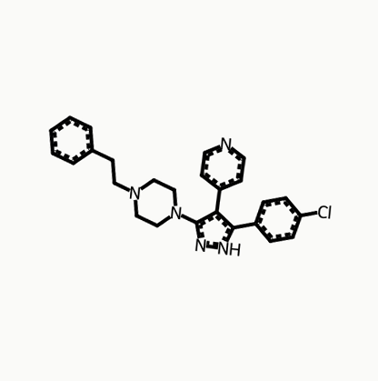 Clc1ccc(-c2[nH]nc(N3CCN(CCc4ccccc4)CC3)c2-c2ccncc2)cc1